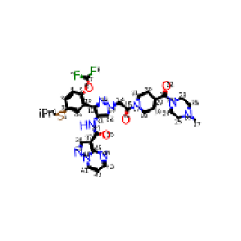 CC(C)Sc1ccc(OC(F)F)c(-c2nn(CC(=O)N3CCC(C(=O)N4CCN(C)CC4)CC3)cc2NC(=O)c2cnn3cccnc23)c1